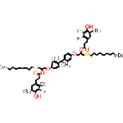 CCCCCCCCCCCCCCCCCCSCC(COc1ccc(C(C)(C)c2ccc(OCC(CSCCCCCCCCCCCCCCCCCC)OC(=O)CCc3cc(C(C)(C)C)c(O)c(CC)c3CC)cc2)cc1)OC(=O)CCc1cc(C(C)(C)C)c(O)c(CC)c1CC